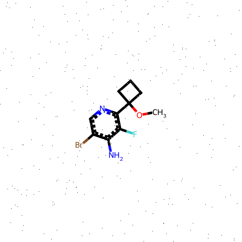 COC1(c2ncc(Br)c(N)c2F)CCC1